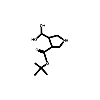 CC(C)(C)OC(=O)C1CNCC1C(O)O